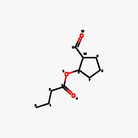 CCCC(=O)OC1CCCC1C=O